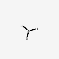 [Li][Al]([Cl])[Cl]